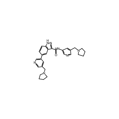 O=C(Nc1cncc(CN2CCCC2)c1)c1n[nH]c2ccc(-c3cncc(CN4CCCC4)c3)cc12